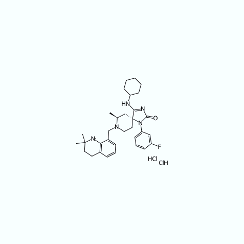 C[C@H]1C[C@]2(CCN1Cc1cccc3c1[N]C(C)(C)CC3)C(NC1CCCCC1)=NC(=O)N2c1cccc(F)c1.Cl.Cl